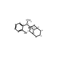 CN(c1ccccc1Br)C1CC2CCCC(C1)N2C